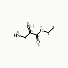 CCOC(=O)C(=N)CS